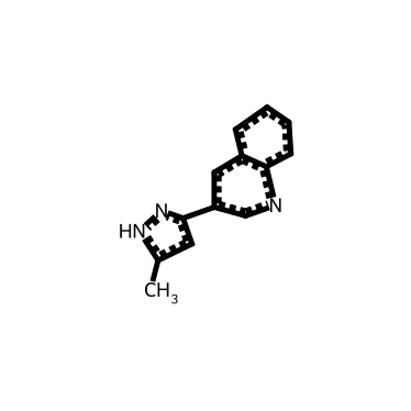 Cc1cc(-c2cnc3ccccc3c2)n[nH]1